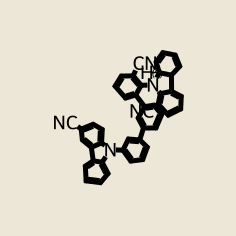 N#Cc1ccc2c(c1)c1ccccc1n2-c1cccc(-c2cccc(-c3cccc(C#N)c3N3c4c(C#N)cccc4C4C=CC=C[C@@H]43)c2)c1